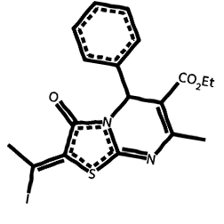 CCOC(=O)C1=C(C)N=c2s/c(=C(/C)I)c(=O)n2C1c1ccccc1